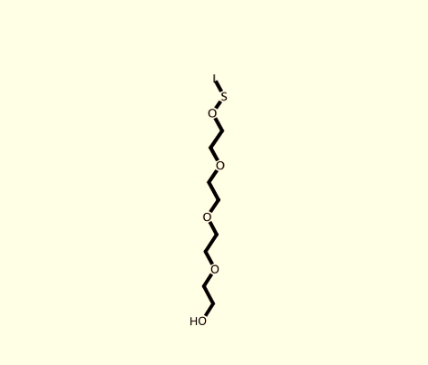 OCCOCCOCCOCCOSI